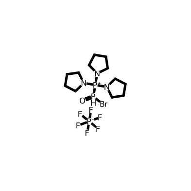 F[P-](F)(F)(F)(F)F.O=[PH](Br)[P+](N1CCCC1)(N1CCCC1)N1CCCC1